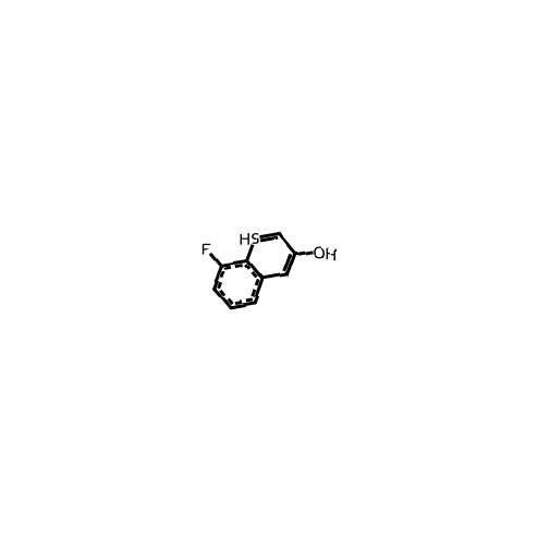 OC1=Cc2cccc(F)c2[SH]=C1